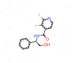 O=C(N[C@@H](CO)c1ccccc1)c1ccnc(F)c1F